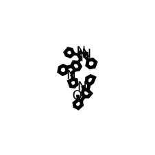 c1ccc(-c2nnn(-c3ccccc3)c2-c2ccc3c(c2)c2ccccc2n3-c2cccc(-n3c4ccccc4c4ccc5c6ccccc6oc5c43)c2)cc1